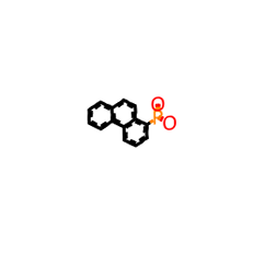 O=P(=O)c1cccc2c1ccc1ccccc12